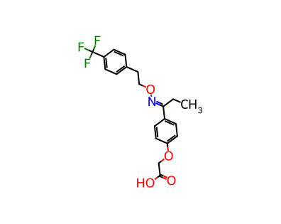 CC/C(=N\OCCc1ccc(C(F)(F)F)cc1)c1ccc(OCC(=O)O)cc1